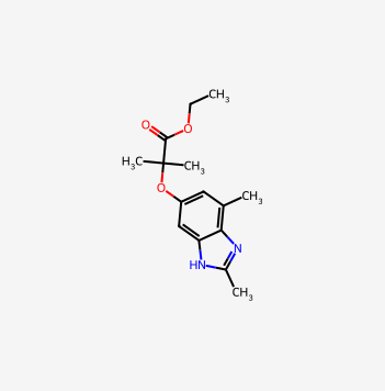 CCOC(=O)C(C)(C)Oc1cc(C)c2nc(C)[nH]c2c1